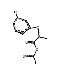 C=C(C)OC(=O)C(C)Oc1cccc(Cl)c1